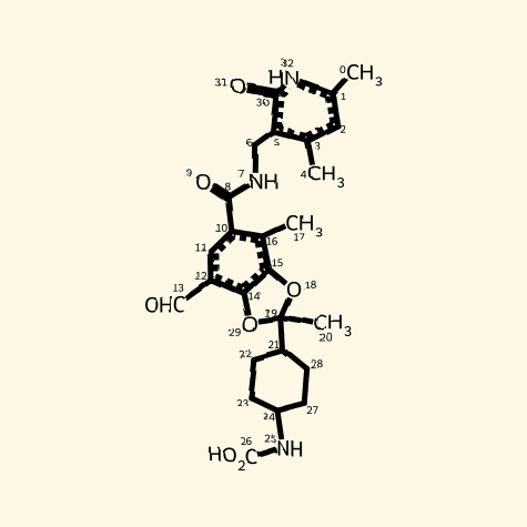 Cc1cc(C)c(CNC(=O)c2cc(C=O)c3c(c2C)OC(C)(C2CCC(NC(=O)O)CC2)O3)c(=O)[nH]1